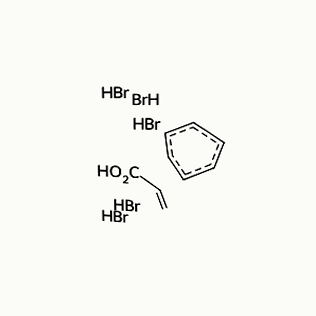 Br.Br.Br.Br.Br.C=CC(=O)O.c1ccccc1